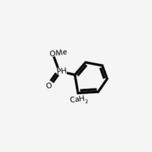 CO[PH](=O)c1ccccc1.[CaH2]